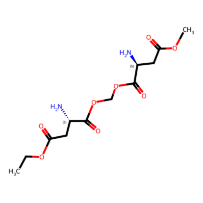 CCOC(=O)C[C@H](N)C(=O)OCOC(=O)[C@@H](N)CC(=O)OC